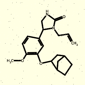 C=CCN1C(=O)NCC1c1ccc(OC)c(OC2CC3CCC2C3)c1